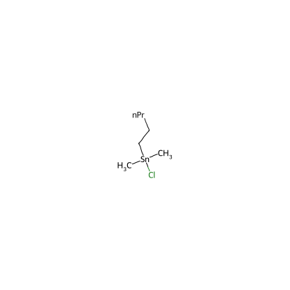 CCCC[CH2][Sn]([CH3])([CH3])[Cl]